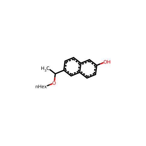 CCCCCCOC(C)c1ccc2cc(O)ccc2c1